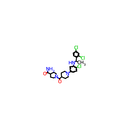 CC(Nc1cc(N2CCC(C(=O)N3CCC(C(N)=O)CC3)CC2)ccc1Cl)c1ccc(Cl)cc1Cl